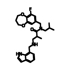 CC(C)CN(Cc1cc(F)c2c(c1)OCCCO2)C(=O)C(C)CNCc1cccc2cc[nH]c12